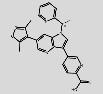 Cc1noc(C)c1-c1cnc2c(-c3ccc(C(=O)O)nc3)cn([C@@H](C)c3ccccn3)c2c1